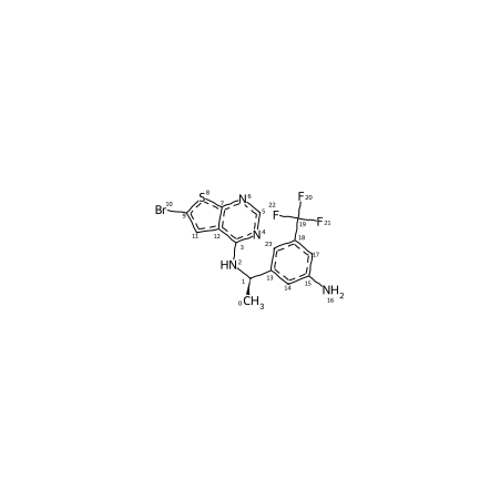 C[C@@H](Nc1ncnc2sc(Br)cc12)c1cc(N)cc(C(F)(F)F)c1